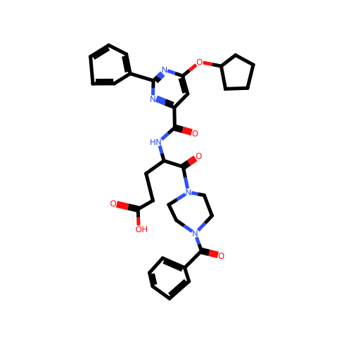 O=C(O)CCC(NC(=O)c1cc(OC2CCCC2)nc(-c2ccccc2)n1)C(=O)N1CCN(C(=O)c2ccccc2)CC1